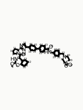 COC(=O)N[C@H](C(=O)N1CCC[C@@H]1c1ncc(-c2ccc(-c3ccc(C(=O)Nc4ccc(CN5CCS(=O)(=O)CC5)cc4)cc3)cc2)[nH]1)c1ccccc1